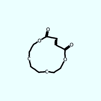 O=C1/C=C/C(=O)OCCCCCCCCO1